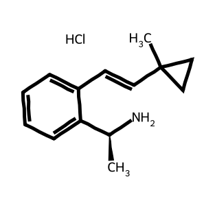 C[C@H](N)c1ccccc1/C=C/C1(C)CC1.Cl